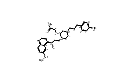 COc1ccc2nccc([C@H](F)CC[C@@H]3CCN(CCCc4ccc(C)cc4)C[C@H]3CCC(=O)O)c2c1